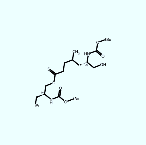 CC(C)C[C@@H](COC(=S)CCC(C)C[C@@H](CO)NC(=O)OC(C)(C)C)NC(=O)OC(C)(C)C